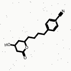 N#Cc1ccc(CCCCC2CC(O)CC(=O)O2)cc1